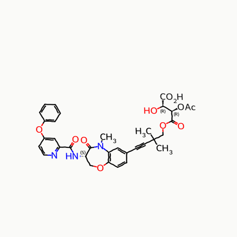 CC(=O)O[C@@H](C(=O)OCC(C)(C)C#Cc1ccc2c(c1)N(C)C(=O)[C@@H](NC(=O)c1cc(Oc3ccccc3)ccn1)CO2)[C@@H](O)C(=O)O